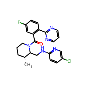 C[C@@H]1CCCN(C(=O)c2cc(F)ccc2-c2ncccn2)C1CNc1ccc(Cl)cn1